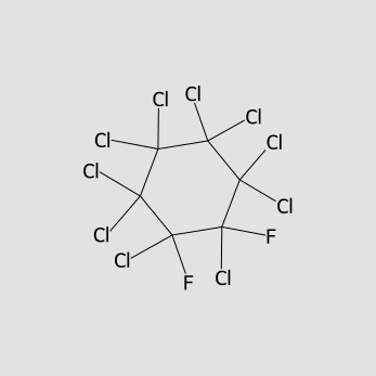 FC1(Cl)C(F)(Cl)C(Cl)(Cl)C(Cl)(Cl)C(Cl)(Cl)C1(Cl)Cl